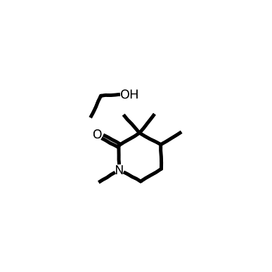 CC1CCN(C)C(=O)C1(C)C.CCO